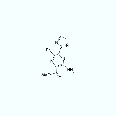 COC(=O)c1nc(Br)c(-n2nccn2)nc1N